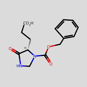 O=C(O)CC[C@H]1C(=O)NCN1C(=O)OCc1ccccc1